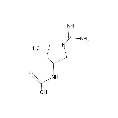 Cl.N=C(N)N1CCC(NC(=O)O)C1